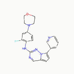 Fc1cc(N2CCOCC2)ccc1Nc1ncc2ccc(-c3cccnc3)n2n1